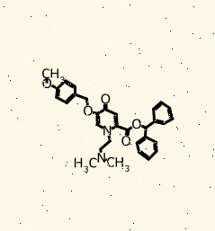 COc1ccc(COc2cn(CCN(C)C)c(C(=O)OC(c3ccccc3)c3ccccc3)cc2=O)cc1